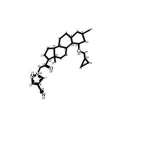 CC1CC2CCC3C(CCC4(C)C(C(=O)Cn5cc(C#N)cn5)CCC34)C2C(OCC2CC2)C1